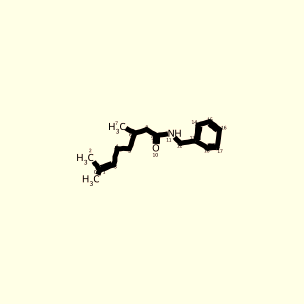 CC(C)=CCCC(C)CC(=O)NCc1ccccc1